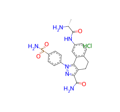 C[C@@H](N)C(=O)Nc1ccc2c(c1)-c1c(c(C(N)=O)nn1-c1ccc(S(N)(=O)=O)cc1)CC2.Cl